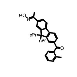 CCCC1(CCC)c2cc(C(=O)c3ccccc3C)ccc2-c2ccc(C(C)=NO)cc21